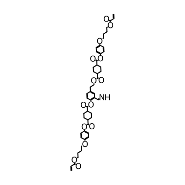 C=CC(=O)OCCCCOc1ccc(OC(=O)C2CCC(C(=O)OCCc3ccc(OC(=O)C4CCC(C(=O)Oc5ccc(OCCCCOC(=O)C=C)cc5)CC4)c(C=N)c3)CC2)cc1